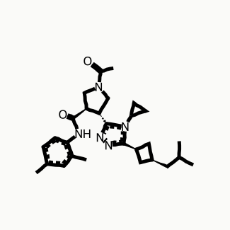 CC(=O)N1C[C@H](C(=O)Nc2ccc(C)cc2C)[C@@H](c2nnc([C@H]3C[C@@H](CC(C)C)C3)n2C2CC2)C1